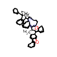 C=C(C1=c2\cccc\c2=C(C(=C)c2oc3ccccc3c2-c2ccc3c(c2)oc2ccccc23)\C=C\CC\C=C\1)c1ccccc1C(=C)c1ccccc1